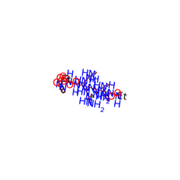 CCNC(=O)CCC(=O)NCCN(CCNC1CCC1)CCN(CCNC1CCC1)CCN(CCN)CCNCCN(CCNCCN(CCNN)C1CCC1)CCN(CCNCCNCCNC1CCC1)CCNC(=O)CCC(=O)NCC(=O)OC1(CC)C(=O)OCc2c1cc1n(c2=O)Cc2cc3ccccc3nc2-1